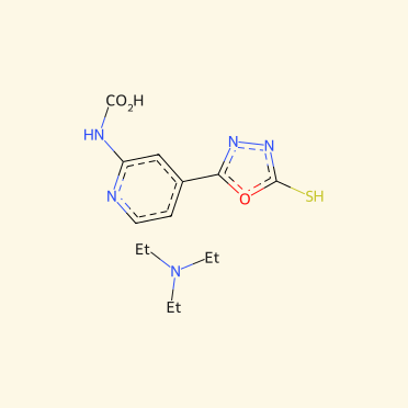 CCN(CC)CC.O=C(O)Nc1cc(-c2nnc(S)o2)ccn1